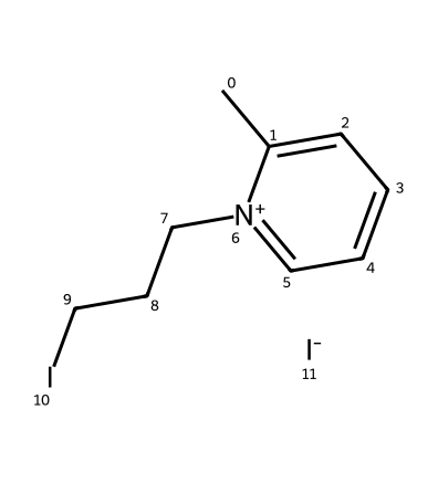 Cc1cccc[n+]1CCCI.[I-]